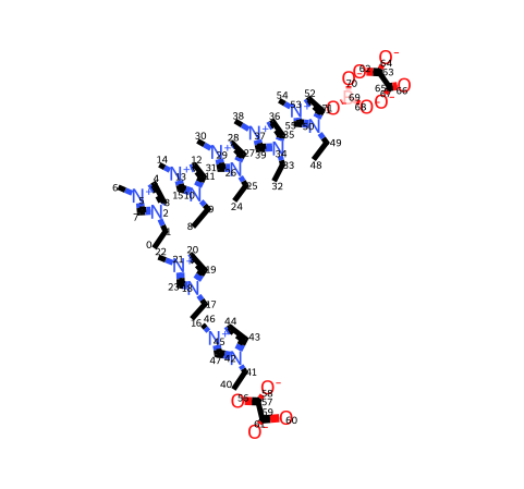 CCn1cc[n+](C)c1.CCn1cc[n+](C)c1.CCn1cc[n+](C)c1.CCn1cc[n+](C)c1.CCn1cc[n+](C)c1.CCn1cc[n+](C)c1.CCn1cc[n+](C)c1.O=C([O-])C(=O)[O-].O=C([O-])C(=O)[O-].[O-]B([O-])[O-]